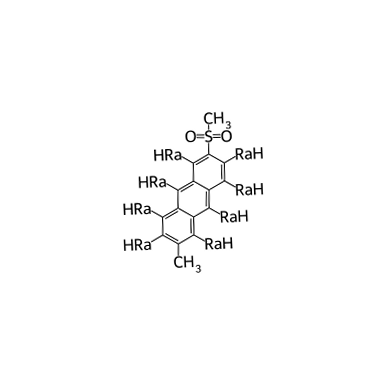 Cc1[c]([RaH])[c]([RaH])c2[c]([RaH])c3[c]([RaH])c(S(C)(=O)=O)[c]([RaH])[c]([RaH])c3[c]([RaH])c2[c]1[RaH]